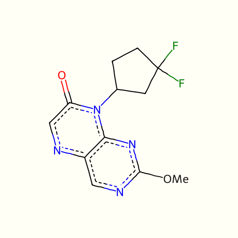 COc1ncc2ncc(=O)n(C3CCC(F)(F)C3)c2n1